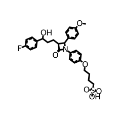 COc1ccc(C2C(CCC(O)c3ccc(F)cc3)C(=O)N2c2ccc(OCCCCS(=O)(=O)O)cc2)cc1